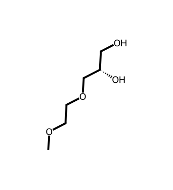 COCCOC[C@@H](O)CO